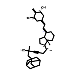 C=C1[C@H](O)CC(=C/C=C2\CCC[C@@]3(C)C2CC[C@@H]3[C@H](C)CC#CC(C)(O)CC23CC4CC(CC(C4)C2)C3)C[C@H]1O